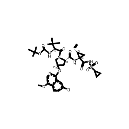 C=C[C@@H]1C[C@]1(NC(=O)[C@@H]1C[C@@](C)(Oc2ncc(OC)c3ccc(Cl)cc23)CN1C(=O)[C@@H](NC(=O)OC(C)(C)C)C(C)(C)C)C(=O)NS(=O)(=O)C1CC1